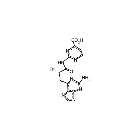 CC[C@@H](Sc1nc(N)nc2nc[nH]c12)C(=O)Nc1nccc(C(=O)O)n1